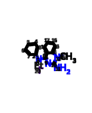 CCN(c1ccccc1)c1nc(N)[n+](C)c2ccccc12.[I-]